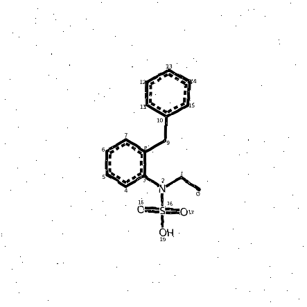 CCN(c1ccccc1Cc1ccccc1)S(=O)(=O)O